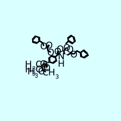 CC1(C)OB(c2ccc(C(=O)N[C@@H](CC(=O)OCc3ccccc3)C(=O)OCc3ccccc3)c(OCC(=O)OCc3ccccc3)c2)OC1(C)C